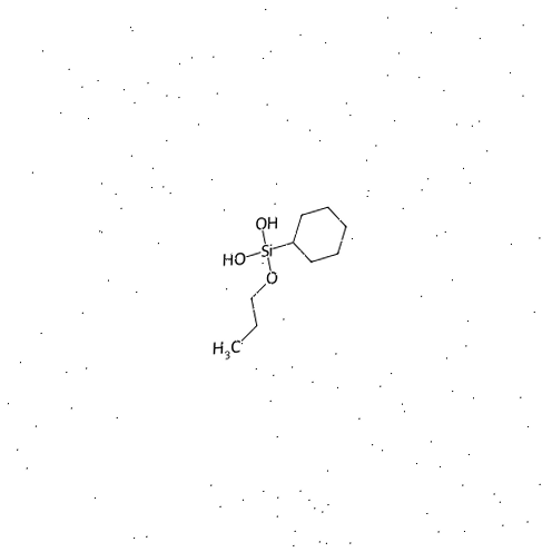 CCCO[Si](O)(O)C1CCCCC1